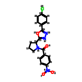 O=C(c1ccc([N+](=O)[O-])cc1)N1CCCC1c1nnc(-c2ccc(Cl)cc2)o1